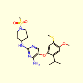 COc1cc(C(C)C)c(Oc2cnc(NC3CCN(S(C)(=O)=O)CC3)nc2N)cc1SC